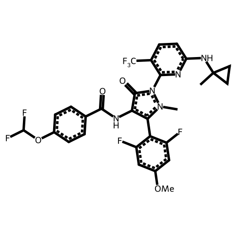 COc1cc(F)c(-c2c(NC(=O)c3ccc(OC(F)F)cc3)c(=O)n(-c3nc(NC4(C)CC4)ccc3C(F)(F)F)n2C)c(F)c1